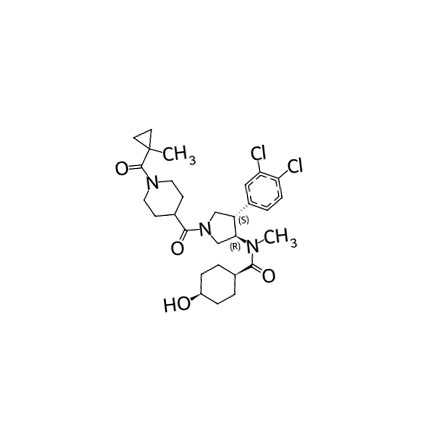 CN(C(=O)[C@H]1CC[C@@H](O)CC1)[C@H]1CN(C(=O)C2CCN(C(=O)C3(C)CC3)CC2)C[C@@H]1c1ccc(Cl)c(Cl)c1